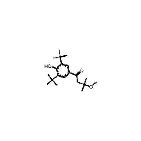 COC(C)(C)CC(=O)c1cc(C(C)(C)C)c(O)c(C(C)(C)C)c1